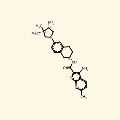 CO[C@@]1(C)CN(c2ccc3c(n2)CC[C@H](NC(=O)c2sc4nc(C)ccc4c2N)C3)C[C@H]1N